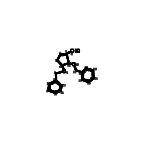 O=CC1=CCC(OCc2ccccc2)C1OCc1ccccc1